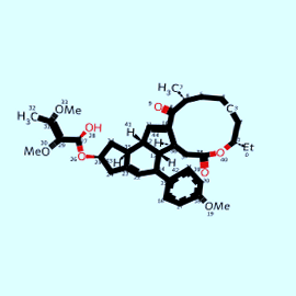 CC[C@H]1CCCC[C@@H](C)C(=O)C2=C[C@@H]3[C@@H](C(c4ccc(OC)cc4)C=C4C[C@@H](O[C@H](O)/C(OC)=C(/C)OC)C[C@H]43)[C@@H]2CC(=O)O1